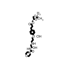 CC1(C)OC[C@@H](COC(=O)CCc2ccc(OCCCNC[C@H](O)NC(=O)N3CCOCC3)cc2)O1.Cl